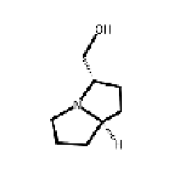 OC[C@@H]1CC[C@H]2CCCN21